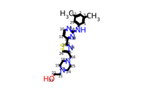 Cc1cc(C)cc(Nc2nccc(-c3nc(CN4CCN(CCO)CC4)cs3)n2)c1